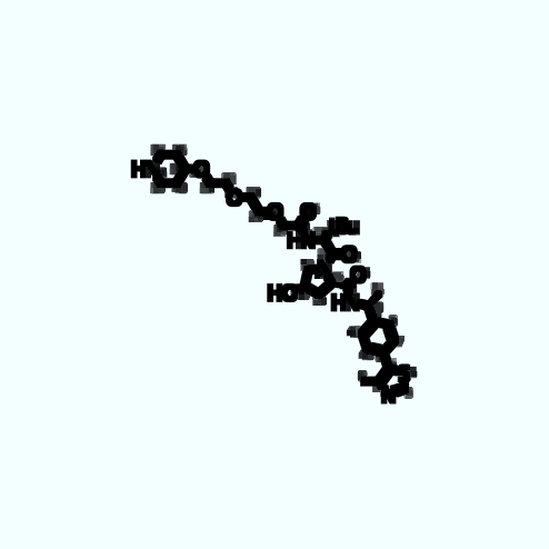 Cc1ncsc1-c1ccc([C@H](C)NC(=O)[C@@H]2C[C@@H](O)CN2C(=O)C(NC(=O)COCCOCCOC2CCNCC2)C(C)(C)C)cc1